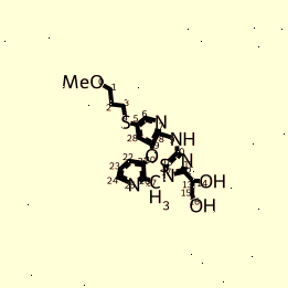 COCCCSc1cnc(Nc2nc(C(O)CO)ns2)c(Oc2cccnc2C)c1